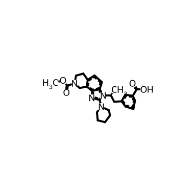 COC(=O)N1CCc2ccc3c(nc(N4CCCCC4)n3[C@@H](C)Cc3cccc(C(=O)O)c3)c2C1